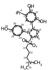 CC(C)c1cc(-c2nnc(S(=O)(=O)CCCN(C)C)n2-c2ccc(O)cc2)c(O)cc1O